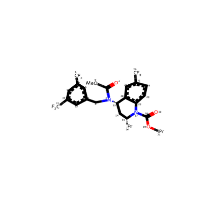 COC(=O)N(Cc1cc(C(F)(F)F)cc(C(F)(F)F)c1)[C@H]1C[C@@H](C(C)C)N(C(=O)OC(C)C)c2ccc(C(F)(F)F)cc21